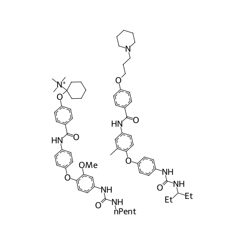 CCC(CC)NC(=O)Nc1ccc(Oc2ccc(NC(=O)c3ccc(OCCCN4CCCCC4)cc3)cc2C)cc1.CCCCCNC(=O)Nc1ccc(Oc2ccc(NC(=O)c3ccc(OC4([N+](C)(C)C)CCCCC4)cc3)cc2)c(OC)c1